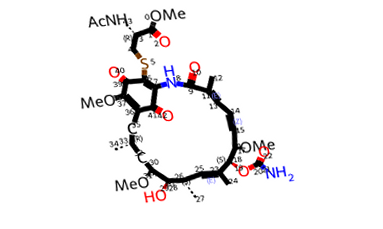 COC(=O)[C@H](CSC1=C2NC(=O)/C(C)=C/C=C\[C@H](OC)[C@@H](OC(N)=O)/C(C)=C/[C@H](C)[C@@H](O)[C@@H](OC)C[C@H](C)CC(=C(OC)C1=O)C2=O)NC(C)=O